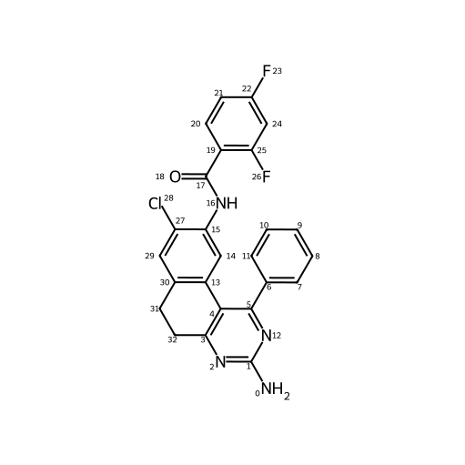 Nc1nc2c(c(-c3ccccc3)n1)-c1cc(NC(=O)c3ccc(F)cc3F)c(Cl)cc1CC2